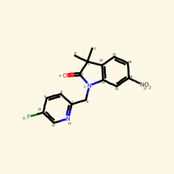 CC1(C)C(=O)N(Cc2ccc(F)cn2)c2cc([N+](=O)[O-])ccc21